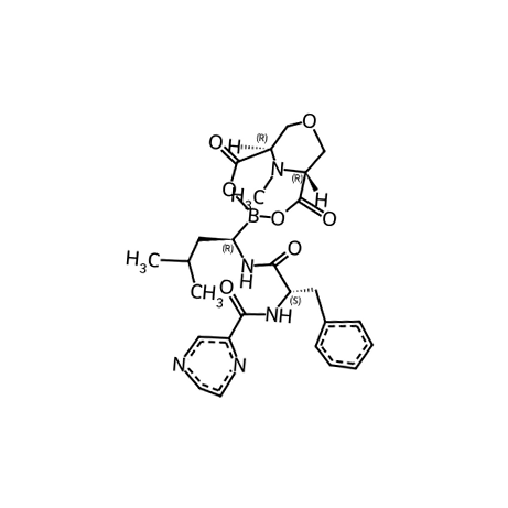 CC(C)C[C@H](NC(=O)[C@H](Cc1ccccc1)NC(=O)c1cnccn1)B1OC(=O)[C@H]2COC[C@H](C(=O)O1)N2C